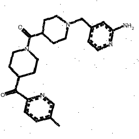 Cc1ccc(C(=O)C2CCN(C(=O)C3CCN(Cc4ccnc(N)c4)CC3)CC2)nc1